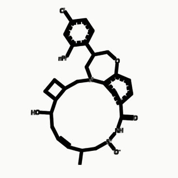 CCCc1cc(Cl)ccc1C1COc2ccc3cc2N(C1)CC1CCC1C(O)C/C=C\C(C)C[S+]([O-])NC3=O